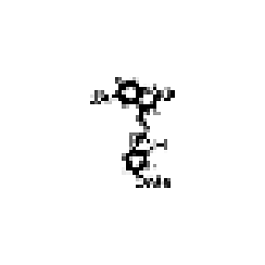 COc1ccc2nc(SCc3cc(=O)oc4ccc(C(C)(C)C)cc34)[nH]c2c1